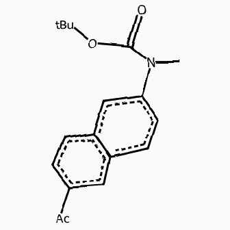 CC(=O)c1ccc2cc(N(C)C(=O)OC(C)(C)C)ccc2c1